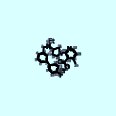 CCN(Cc1cccc(-c2ccc(F)cc2)c1)[C@@H]1CCN(c2nccc(C)c2C(=O)OC(C)C)C1